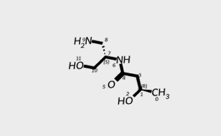 C[C@@H](O)CC(=O)N[C@@H](CN)CO